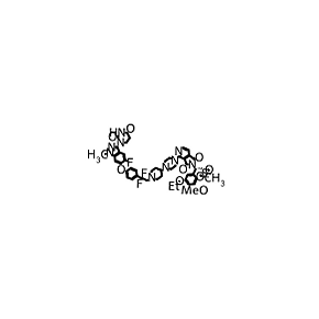 CCOc1cc([C@@H](CS(C)(=O)=O)N2C(=O)c3ccnc(N4CCN(C5CCN(CC(F)(F)c6ccc(Oc7cc8c(cc7F)c(N7CCC(=O)NC7=O)nn8C)cc6)CC5)CC4)c3C2=O)ccc1OC